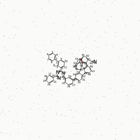 Cc1c(-c2ccccc2)cccc1-c1nc(-c2ccccc2)nc(-c2cccc(-c3ccc4c(c3)C3(c5c(-c6ccccc6C#N)cccc5-4)C4CC5CC(C4)CC3C5)c2)n1